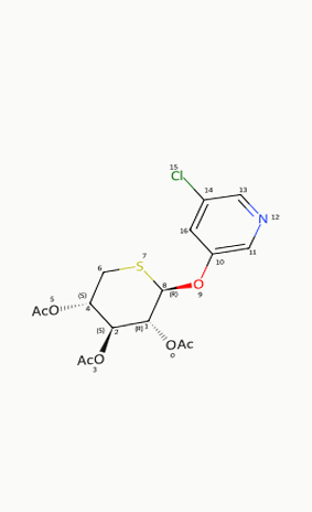 CC(=O)O[C@@H]1[C@@H](OC(C)=O)[C@H](OC(C)=O)CS[C@H]1Oc1cncc(Cl)c1